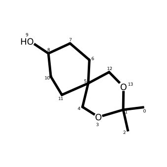 CC1(C)OCC2(CCC(O)CC2)CO1